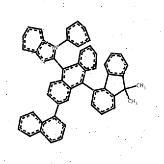 CC1(C)c2ccccc2-c2c(-c3c4ccccc4c(-c4nc5ccccc5n4-c4ccccc4)c4ccc(-c5cccc6ccccc56)cc34)cccc21